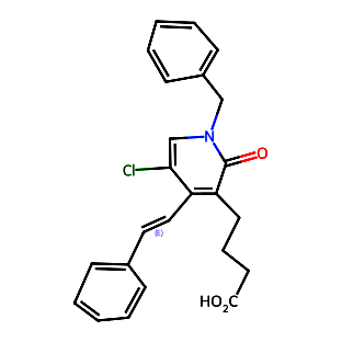 O=C(O)CCCc1c(/C=C/c2ccccc2)c(Cl)cn(Cc2ccccc2)c1=O